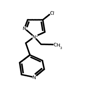 CC[N+]1(Cc2ccncc2)C=C(Cl)C=N1